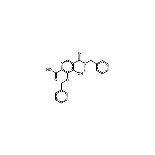 O=C(O)c1ncc(C(=O)N(F)Cc2ccccc2)c(O)c1OCc1ccccc1